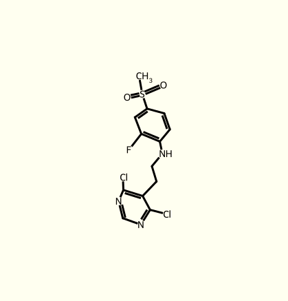 CS(=O)(=O)c1ccc(NCCc2c(Cl)ncnc2Cl)c(F)c1